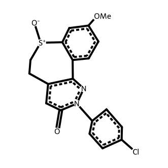 COc1ccc2c(c1)[S+]([O-])CCc1cc(=O)n(-c3ccc(Cl)cc3)nc1-2